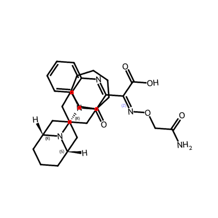 NC(=O)CO/N=C(\C(=O)O)c1nc2ccccc2n([C@H]2C[C@H]3CCC[C@@H](C2)N3C2CC3CCCCC(C3)C2)c1=O